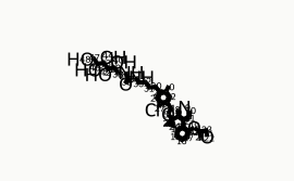 Cc1cc(COC2(c3cnccc3-c3ccccc3OC3COC3)CC2)c(Cl)cc1CCCCNC(=O)NC[C@@H](O)[C@H](O)[C@@H](O)[C@@H](O)CO